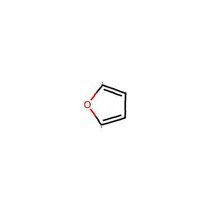 [c]1cc[c]o1